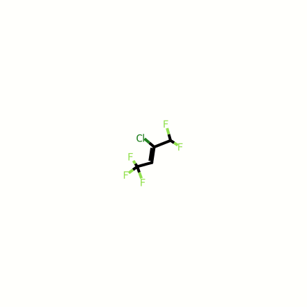 FC(F)/C(Cl)=C/C(F)(F)F